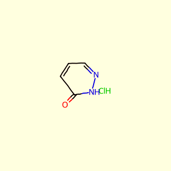 Cl.O=c1cccn[nH]1